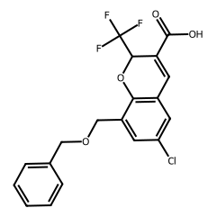 O=C(O)C1=Cc2cc(Cl)cc(COCc3ccccc3)c2OC1C(F)(F)F